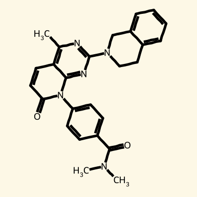 Cc1nc(N2CCc3ccccc3C2)nc2c1ccc(=O)n2-c1ccc(C(=O)N(C)C)cc1